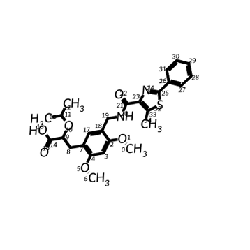 COc1cc(OC)c(CC(OC(C)C)C(=O)O)cc1CNC(=O)c1nc(-c2ccccc2)sc1C